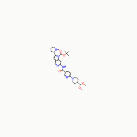 COC(OC)C1CCN(c2ccc(C(=O)Nc3cc4c(cn3)cc([C@H]3CCCN3C)n4C(=O)OC(C)(C)C)cn2)CC1